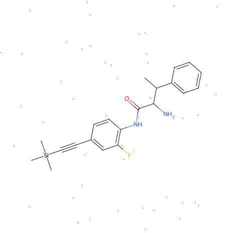 CC(c1ccccc1)C(N)C(=O)Nc1ccc(C#C[Si](C)(C)C)cc1F